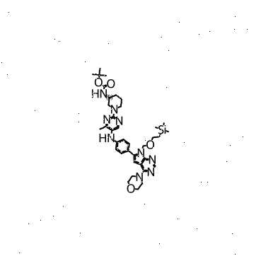 Cc1nc(N2CCC[C@@H](NC(=O)OC(C)(C)C)C2)ncc1Nc1ccc(-c2cc3c(N4CCOCC4)ncnc3n2COCC[Si](C)(C)C)cc1